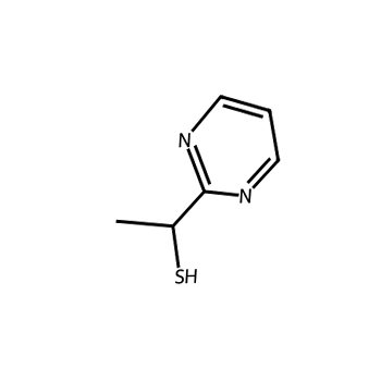 CC(S)c1ncccn1